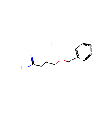 Cl.N=C(N)CCCOCc1ccccc1